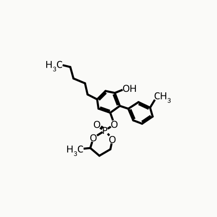 CCCCCc1cc(O)c(-c2cccc(C)c2)c(OP2(=O)OCCC(C)O2)c1